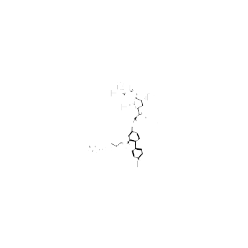 CC[C@H](C)[C@@H](CO)NC(=O)[C@@H](C[C@H](O)[C@@H](N)COCc1ccc(-c2ccc(F)cc2)c(OCCCOC)c1)C(C)C